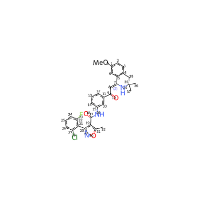 COc1ccc2c(c1)/C(=C/C(=O)c1cccc(NC(=O)c3c(-c4c(F)cccc4Cl)noc3C)c1)NC(C)(C)C2